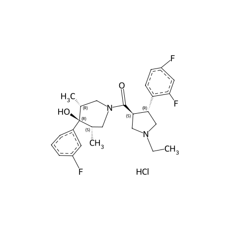 CCN1C[C@@H](C(=O)N2C[C@@H](C)[C@@](O)(c3cccc(F)c3)[C@@H](C)C2)[C@H](c2ccc(F)cc2F)C1.Cl